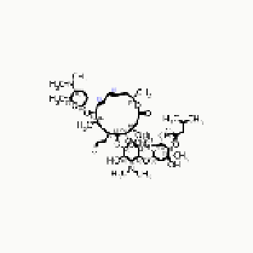 CO[C@@H]1[C@@H](O[C@@H]2O[C@H](C)[C@@H](O[C@H]3C[C@@](C)(O)[C@@H](OC(=O)CC(C)C)[C@H](C)O3)[C@H](N(C)C)[C@H]2O)[C@@H](CC=O)C[C@@H](C)[C@@H](O[C@H]2CC[C@H](N(C)C)[C@@H](C)O2)/C=C/C=C/C[C@@H](C)OC(=O)C[C@H]1O